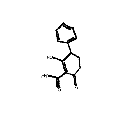 CCCC(=O)C1=C(O)C(c2ccccc2)CCC1=O